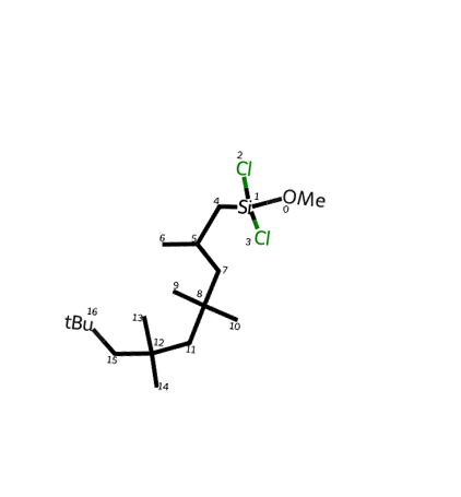 CO[Si](Cl)(Cl)CC(C)CC(C)(C)CC(C)(C)CC(C)(C)C